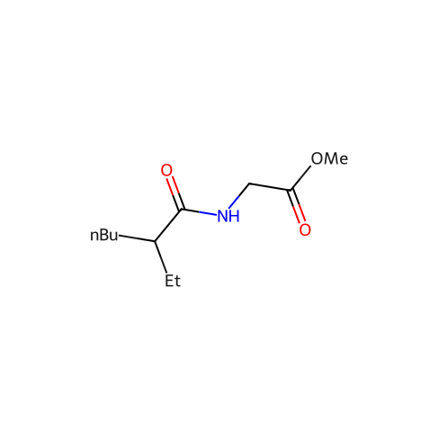 CCCCC(CC)C(=O)NCC(=O)OC